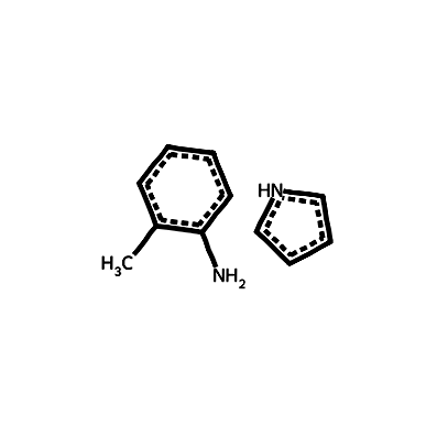 Cc1ccccc1N.c1cc[nH]c1